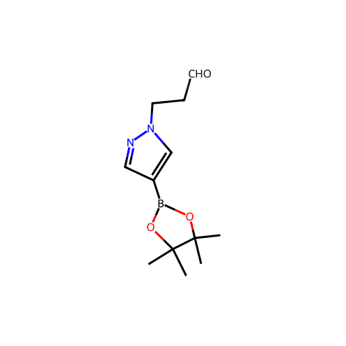 CC1(C)OB(c2cnn(CCC=O)c2)OC1(C)C